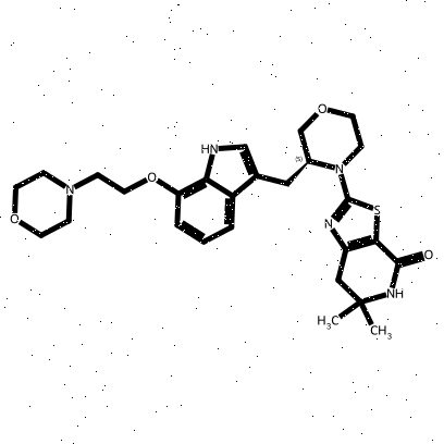 CC1(C)Cc2nc(N3CCOC[C@@H]3Cc3c[nH]c4c(OCCN5CCOCC5)cccc34)sc2C(=O)N1